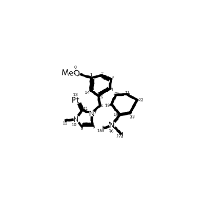 COc1cccc(Cn2ccn(C)[c]2=[Pt])c1.IN(I)C1CCCCC1